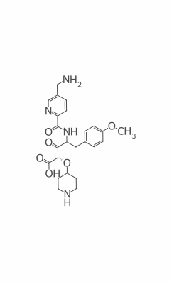 COc1ccc(CC(NC(=O)c2ccc(CN)cn2)C(=O)[C@H](OC2CCNCC2)C(=O)O)cc1